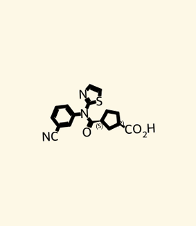 N#Cc1cccc(N(C(=O)[C@H]2CC[C@@H](C(=O)O)C2)c2nccs2)c1